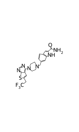 NC(=O)c1cc2ccc(CN3CCN(c4ncnc5sc(CC(F)(F)F)cc45)CC3)cc2[nH]1